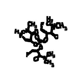 CN(C)C(=O)/C(=C\F)OP(=O)(O/C(=C/F)C(=O)N(C)C)O/C(=C/F)C(=O)N(C)C